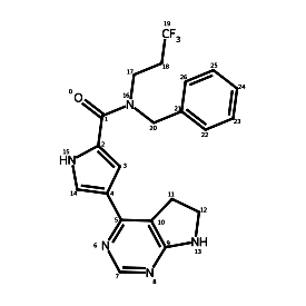 O=C(c1cc(-c2ncnc3c2CCN3)c[nH]1)N(CCC(F)(F)F)Cc1ccccc1